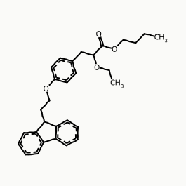 CCCCOC(=O)C(Cc1ccc(OCCC2c3ccccc3-c3ccccc32)cc1)OCC